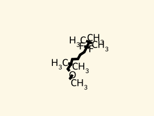 CCOCC(C)(C)CCCCC(F)(F)C(C)(C)C